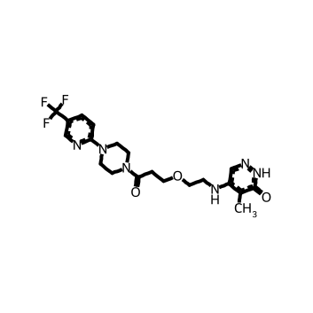 Cc1c(NCCOCCC(=O)N2CCN(c3ccc(C(F)(F)F)cn3)CC2)cn[nH]c1=O